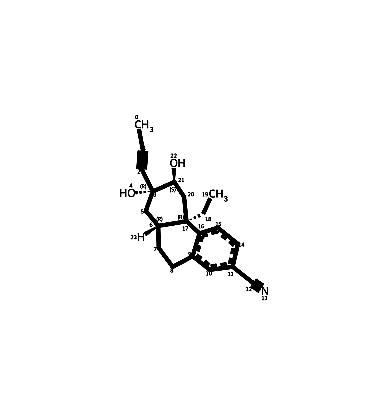 CC#C[C@]1(O)C[C@H]2CCc3cc(C#N)ccc3[C@]2(CC)C[C@@H]1O